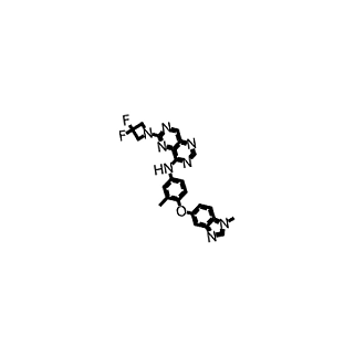 Cc1cc(Nc2ncnc3cnc(N4CC(F)(F)C4)nc23)ccc1Oc1ccc2c(c1)ncn2C